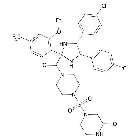 CCOc1cc(C(F)(F)F)ccc1C1(C(=O)N2CCN(S(=O)(=O)N3CCNC(=O)C3)CC2)NC(c2ccc(Cl)cc2)C(c2ccc(Cl)cc2)N1